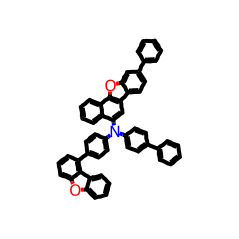 c1ccc(-c2ccc(N(c3ccc(-c4cccc5oc6ccccc6c45)cc3)c3cc4c5ccc(-c6ccccc6)cc5oc4c4ccccc34)cc2)cc1